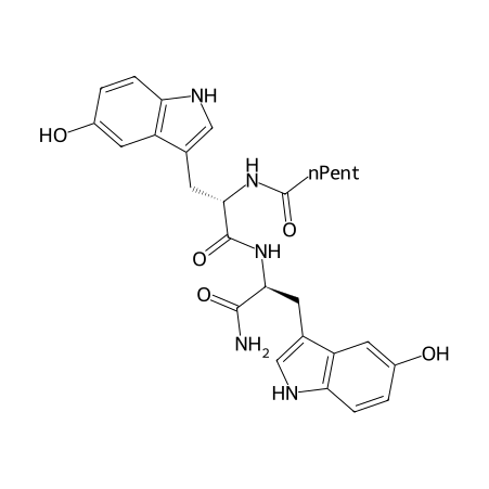 CCCCCC(=O)N[C@@H](Cc1c[nH]c2ccc(O)cc12)C(=O)N[C@@H](Cc1c[nH]c2ccc(O)cc12)C(N)=O